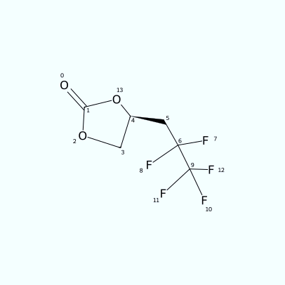 O=C1OC[C@H](CC(F)(F)C(F)(F)F)O1